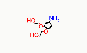 Nc1ccc(OCCO)c(OCCO)c1